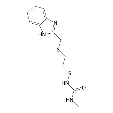 CNC(=O)NSCCSCc1nc2ccccc2[nH]1